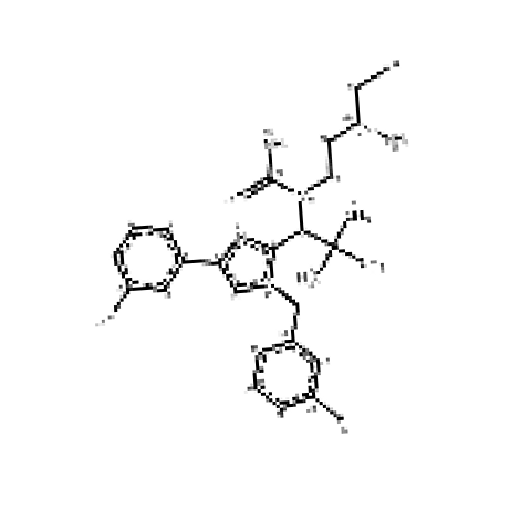 CC(C)(C)C(c1nc(-c2cccc(F)c2)cn1Cc1cccc(F)c1)N(CC[C@@H](N)CF)C(N)=O